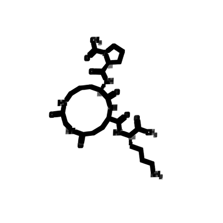 CC(=O)[C@H](CCCCN)NC(=O)C1CCC(=O)NCC(=O)NCCC[C@H](NC(=O)[C@@H]2CCCN2C(C)=O)C(=O)N1